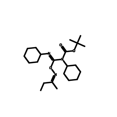 CCC(C)=NOC(=NC1CCCCC1)N(C(=O)OC(C)(C)C)C1CCCCC1